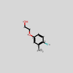 O=[N+]([O-])c1cc(OCCO)ccc1F